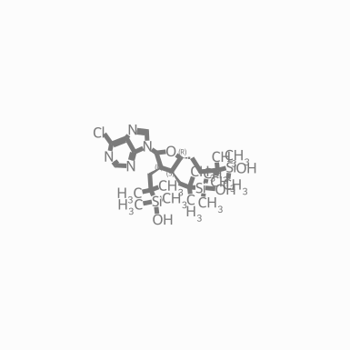 CC(C)(CC[C@H]1OC(n2cnc3c(Cl)ncnc32)[C@H](CC(C)(C)[Si](C)(C)O)[C@@H]1CC(C)(C)[Si](C)(C)O)[Si](C)(C)O